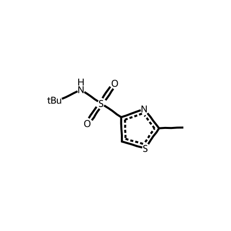 Cc1nc(S(=O)(=O)NC(C)(C)C)cs1